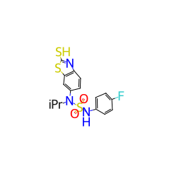 CC(C)N(c1ccc2nc(S)sc2c1)S(=O)(=O)Nc1ccc(F)cc1